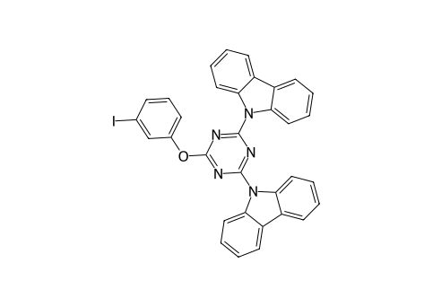 Ic1cccc(Oc2nc(-n3c4ccccc4c4ccccc43)nc(-n3c4ccccc4c4ccccc43)n2)c1